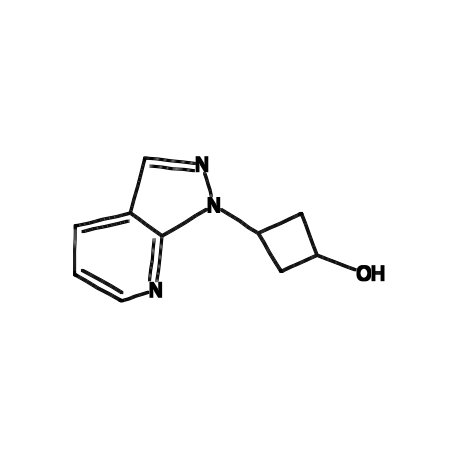 OC1CC(n2ncc3cccnc32)C1